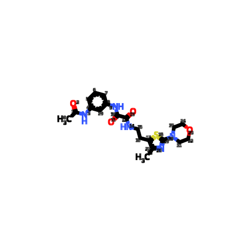 CC(=O)Nc1cccc(NC(=O)C(=O)NCCc2sc(N3CCOCC3)nc2C)c1